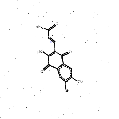 CCCC(=O)/C=C/C1=C(O)C(=O)c2cc(O)c(O)cc2C1=O